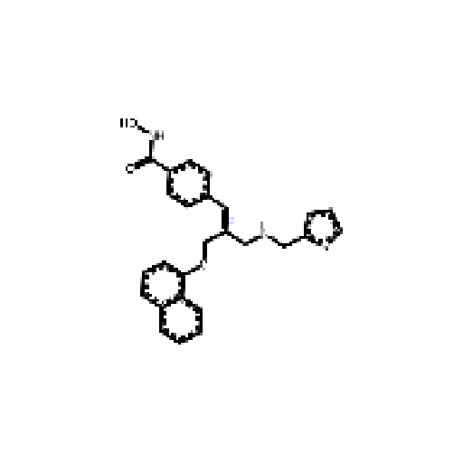 O=C(NO)c1ccc(/C=C(/CNCc2cccs2)COc2cccc3ccccc23)cc1